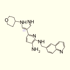 N=C/C(=C\NC1CCOCC1)c1ccc(N)c(NCc2ccc3ncccc3c2)n1